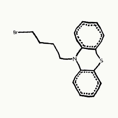 BrCCCCN1c2ccccc2Sc2ccccc21